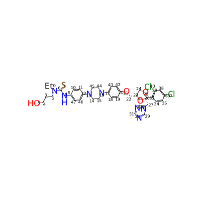 CCN(CCCO)C(=S)Nc1ccc(N2CCN(c3ccc(OC[C@@H]4CO[C@@](Cn5cncn5)(c5ccc(Cl)cc5Cl)O4)cc3)CC2)cc1